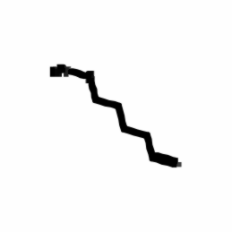 [CH]=CCCCCSCCC